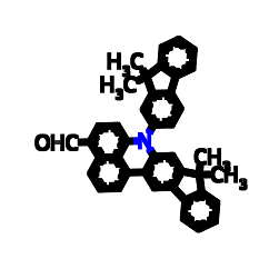 CC1(C)c2ccccc2-c2ccc(N3c4cc5c(cc4-c4cccc6c(C=O)ccc3c46)-c3ccccc3C5(C)C)cc21